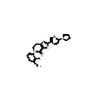 Nc1cccc(N2CCc3nc(-c4ccc(N5CCCC5)nc4)sc3C2=O)c1F